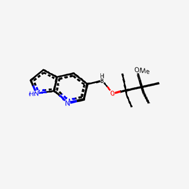 COC(C)(C)C(C)(C)OBc1cnc2[nH]ccc2c1